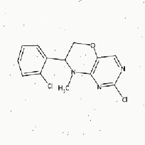 CN1c2nc(Cl)ncc2OCC1c1ccccc1Cl